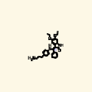 CCOc1cc2c(cc1OCC)/C(=C(\Nc1ccc(CCCN)cc1)c1ccccc1)C(=O)N2